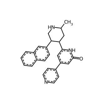 CC1CC(c2cc(-c3ccncc3)cc(=O)[nH]2)C(c2ccc3ccccc3c2)CN1